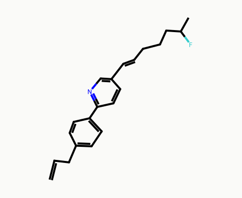 C=CCc1ccc(-c2ccc(/C=C/CCCC(C)F)cn2)cc1